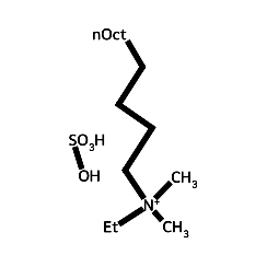 CCCCCCCCCCCC[N+](C)(C)CC.O=S(=O)(O)O